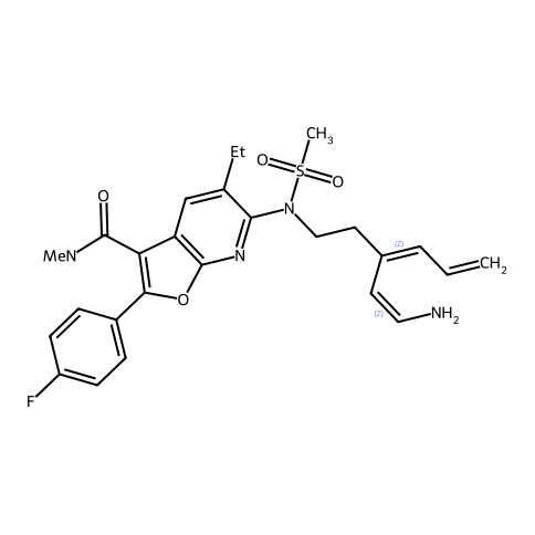 C=C/C=C(\C=C/N)CCN(c1nc2oc(-c3ccc(F)cc3)c(C(=O)NC)c2cc1CC)S(C)(=O)=O